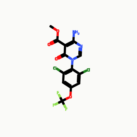 COC(=O)c1c(N)ncn(-c2c(Cl)cc(OC(F)(F)F)cc2Cl)c1=O